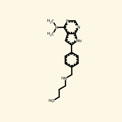 CN(C)c1ncnc2[nH]c(-c3ccc(CNCCCO)cc3)cc12